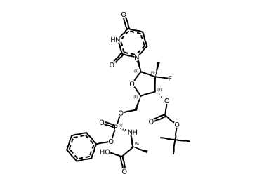 C[C@H](N[P@](=O)(OC[C@H]1O[C@@H](n2ccc(=O)[nH]c2=O)[C@](C)(F)[C@@H]1OC(=O)OC(C)(C)C)Oc1ccccc1)C(=O)O